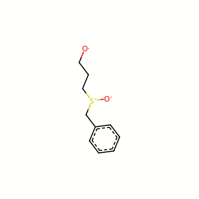 [O]CCC[S+]([O-])Cc1ccccc1